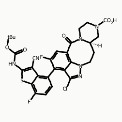 CC(C)(C)OC(=O)Nc1sc2c(F)ccc(-c3c(F)cc4c5c3c(Cl)nn5CC[C@@H]3CN(C(=O)O)CCN3C4=O)c2c1C#N